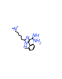 Cc1ccccc1-c1[nH]c(CCCCCN(C)C)nc1C(=N)N